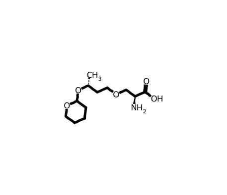 C[C@H](CCOC[C@H](N)C(=O)O)OC1CCCCO1